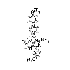 Cc1ccc(-c2nc(N)nc3c2ncc(=O)n3CCN2CCN(c3ccc(OC(F)(F)F)cc3)CC2)o1